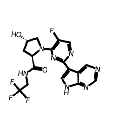 O=C(NCC(F)(F)F)[C@H]1C[C@H](O)CN1c1nc(-c2c[nH]c3ncncc23)ncc1F